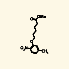 COC(=O)CCCCCOc1cc(C)ccc1[N+](=O)[O-]